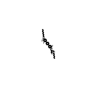 CCCCCCCCOc1ccc(-c2ccc(-c3ccc(OCC4COC(CCCCC)OC4)c(F)c3)cc2)c(F)c1F